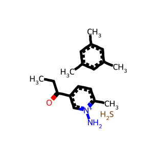 CCC(=O)c1ccc(C)[n+](N)c1.Cc1cc(C)cc(C)c1.S